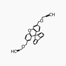 C#CCOCc1ccc2c(c1)Oc1ccc(COCC#C)cc1C21c2ccccc2-c2ccccc21